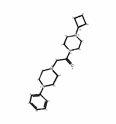 O=C(CN1CCN(c2ccccc2)CC1)N1CCN(C2CCC2)CC1